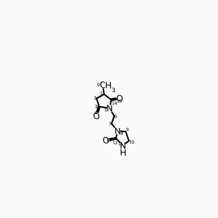 CC1CC(=O)N(CCN2CCNC2=O)C1=O